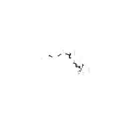 CCCCCCCCCCCCOCCOC(=O)C(C)CNCCC[Si](C)(OCC)OCC